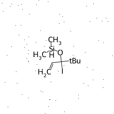 C=CC(I)(O[SiH](C)C)C(C)(C)C